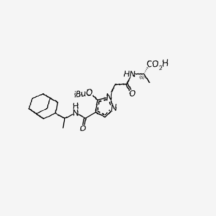 CC(C)COc1c(C(=O)NC(C)C2CC3CCCC(C3)C2)cnn1CC(=O)N[C@@H](C)C(=O)O